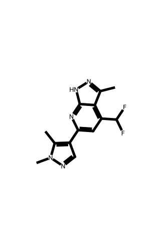 Cc1n[nH]c2nc(-c3cnn(C)c3C)cc(C(F)F)c12